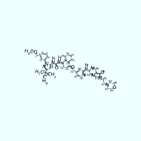 COCc1cccc(-n2nc(C(C)(C)C)cc2NC(=O)Nc2ccc(OCc3ccnc(Nc4cnc(C(=O)NCCN5CCOCC5)cn4)c3)c3ccccc23)c1